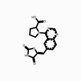 O=C1NC(=O)C(=Cc2ccc3ncnc(N4CCCC4C(=O)O)c3c2)S1